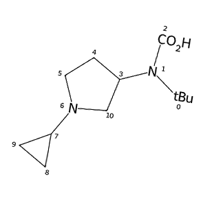 CC(C)(C)N(C(=O)O)C1CCN(C2CC2)C1